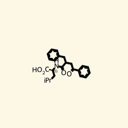 CC(C)C[C@H](NC(=O)C(CC(=O)c1ccccc1)Cc1ccccc1)C(=O)O